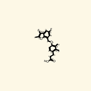 Cc1oc2c(COc3ccc(CCC(=O)O)c(C)c3C)cc(F)cc2c1F